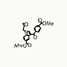 COC(=O)c1ccc(C(=O)c2cn(CC3CO3)c3ccc(C(=O)OC)cc23)cc1